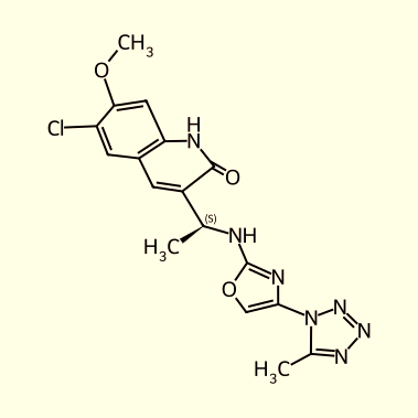 COc1cc2[nH]c(=O)c([C@H](C)Nc3nc(-n4nnnc4C)co3)cc2cc1Cl